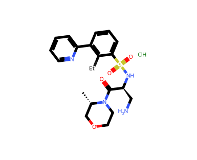 CCc1c(-c2ccccn2)cccc1S(=O)(=O)N[C@@H](CN)C(=O)N1CCOC[C@@H]1C.Cl